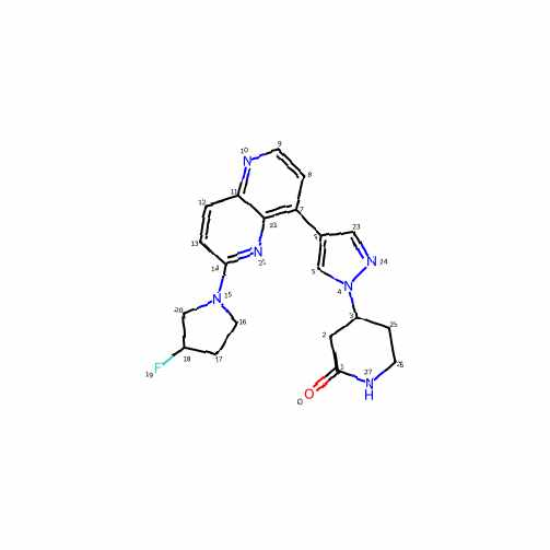 O=C1CC(n2cc(-c3ccnc4ccc(N5CCC(F)C5)nc34)cn2)CCN1